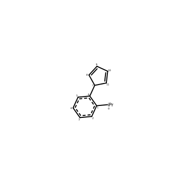 CC(C)c1ccccc1C1C=CC=C1